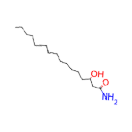 CCCCCCCCCCCCCC(O)CC(N)=O